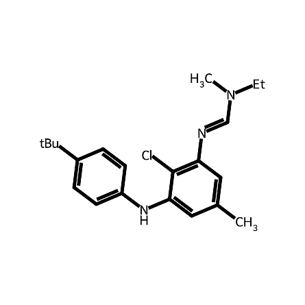 CCN(C)C=Nc1cc(C)cc(Nc2ccc(C(C)(C)C)cc2)c1Cl